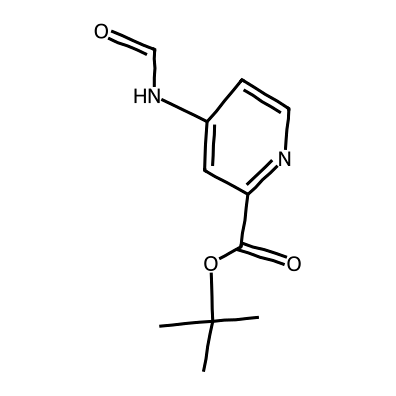 CC(C)(C)OC(=O)c1cc(NC=O)ccn1